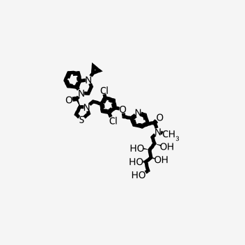 CN(C[C@H](O)[C@@H](O)[C@H](O)[C@H](O)CO)C(=O)c1ccc(COc2cc(Cl)c(CN3CSC[C@H]3C(=O)N3CCN(C4CC4)c4ccccc43)cc2Cl)nc1